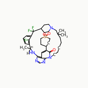 C[C@H]1Nc2ncnc3c2cc(C2CCS(=O)(=O)CC2)c(=O)n3CCCCCC(C)(C)CN2CCC(CC2)C(F)(F)c2cccc1c2F